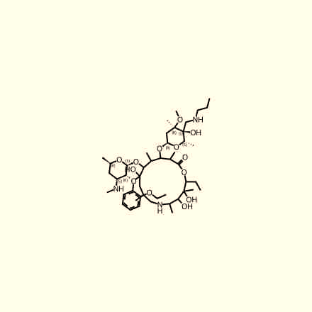 CCCNC[C@]1(O)[C@H](C)O[C@@H](OC2C(C)C(=O)OC(CC)C(C)(O)C(O)C(C)NCC(C)CC(C)(O)C(O[C@@H]3O[C@H](C)C[C@H](NC)[C@H]3Oc3ccccc3OCC)C2C)C[C@@]1(C)OC